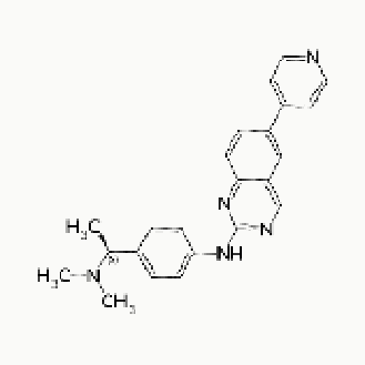 C[C@@H](c1ccc(Nc2ncc3cc(-c4ccncc4)ccc3n2)cc1)N(C)C